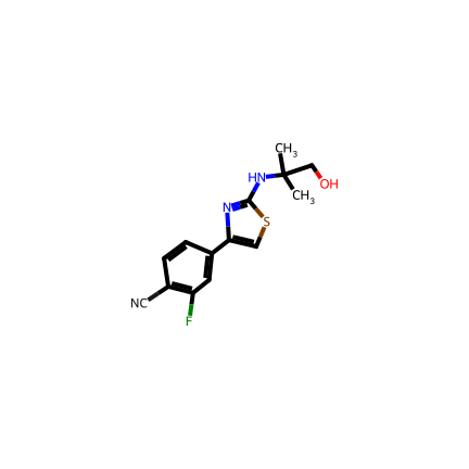 CC(C)(CO)Nc1nc(-c2ccc(C#N)c(F)c2)cs1